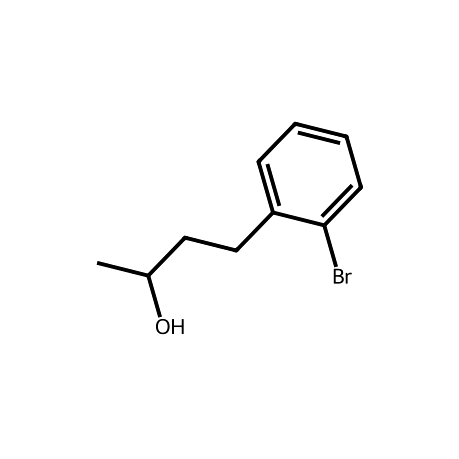 CC(O)CCc1ccccc1Br